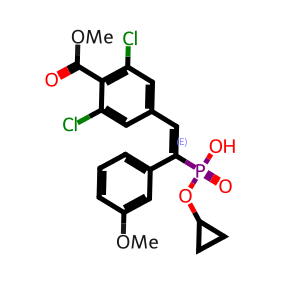 COC(=O)c1c(Cl)cc(/C=C(\c2cccc(OC)c2)P(=O)(O)OC2CC2)cc1Cl